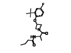 CCCC(=O)NC(C)C(=O)N1CC(Oc2ccc(F)cc2C(C)(C)C)C1